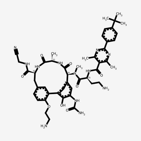 Cc1nc(-c2ccc(C(C)(C)C)cc2)nc(C)c1C(=O)N[C@@H](CCN)C(=O)N(C)[C@@H]1C(=O)N[C@@H](C)C(=O)N[C@H](C(=O)NCC#N)Cc2ccc(OCCN)c(c2)-c2cc1cc(NC(N)=O)c2O